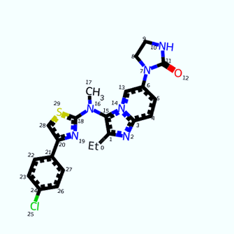 CCc1nc2ccc(N3CCNC3=O)cn2c1N(C)c1nc(-c2ccc(Cl)cc2)cs1